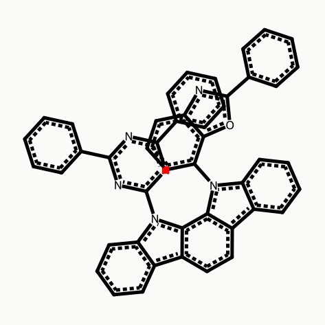 c1ccc(-c2nc(-c3ccccc3)nc(-n3c4ccccc4c4ccc5c6ccccc6n(-c6cccc7nc(-c8ccccc8)oc67)c5c43)n2)cc1